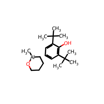 CC(C)(C)c1cccc(C(C)(C)C)c1O.[CH3][Al]1[CH2]CCC[O]1